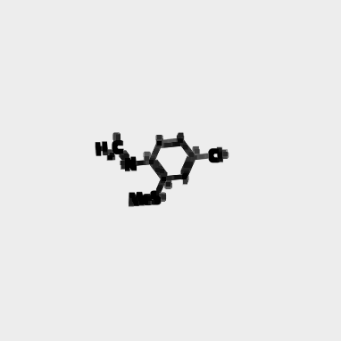 C=Nc1ccc(Cl)cc1SC